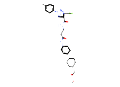 COC(=O)C[C@H]1CC[C@H](c2ccc(NC(=O)CCNC(=O)c3cn(-c4ccc(C)cc4)nc3C(F)(F)F)cc2)CC1